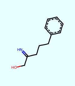 N=C(CO)CCCc1ccccc1